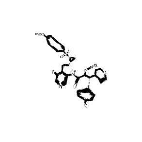 COc1ccc(S(=O)(=O)N2C[C@@H]2CCc2c(F)cncc2NC(=O)[C@@H](N=[N+]=[N-])[C@@H](c2ccc(Cl)cc2)C2CCOCC2)cc1